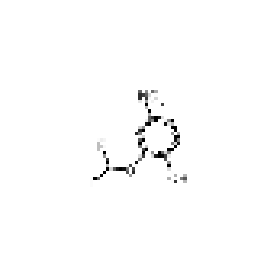 O=[N+]([O-])c1ccc(O)c(OC(F)F)c1